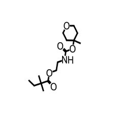 CCC(C)(C)C(=O)OCCNC(=O)OC1(C)CCOCC1